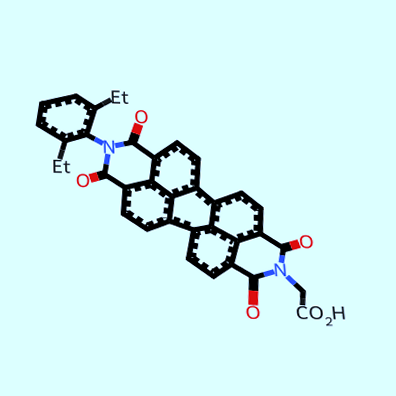 CCc1cccc(CC)c1N1C(=O)c2ccc3c4ccc5c6c(ccc(c7ccc(c2c37)C1=O)c64)C(=O)N(CC(=O)O)C5=O